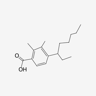 CCCCCC(CC)c1ccc(C(=O)O)c(C)c1C